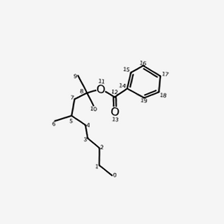 CCCCCC(C)CC(C)(C)OC(=O)c1ccccc1